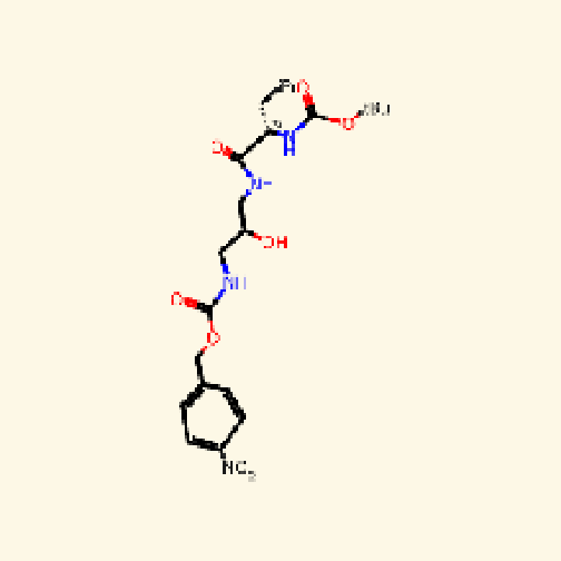 CC(C)C[C@H](NC(=O)OC(C)(C)C)C(=O)NCC(O)CNC(=O)OCc1ccc([N+](=O)[O-])cc1